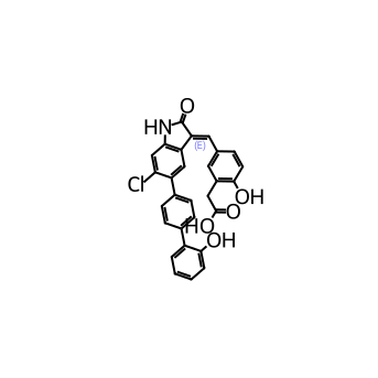 O=C(O)Cc1cc(/C=C2/C(=O)Nc3cc(Cl)c(-c4ccc(-c5ccccc5O)cc4)cc32)ccc1O